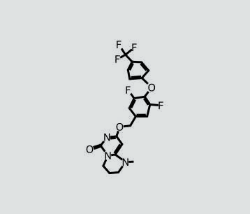 CN1CCCn2c1cc(OCc1cc(F)c(Oc3ccc(C(F)(F)F)cc3)c(F)c1)nc2=O